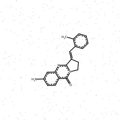 Cc1ccccc1C=C1CCn2c1nc1cc(N)ccc1c2=O